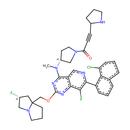 CN(c1nc(OCC23CCCN2C[C@H](F)C3)nc2c(F)c(-c3cccc4cccc(Cl)c34)ncc12)[C@@H]1CCN(C(=O)C#CC2CCCN2)C1